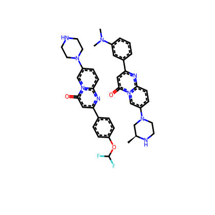 C[C@H]1CN(c2ccc3nc(-c4cccc(N(C)C)c4)cc(=O)n3c2)CCN1.O=c1cc(-c2ccc(OC(F)F)cc2)nc2ccc(N3CCNCC3)cn12